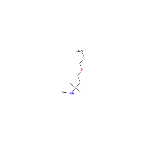 COCCOCCC(C)(C)NC(C)(C)C